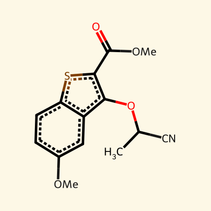 COC(=O)c1sc2ccc(OC)cc2c1OC(C)C#N